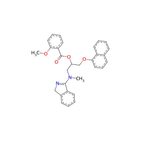 COc1ccccc1C(=O)OC(COc1cccc2ccccc12)CN(C)C1=NCc2ccccc21